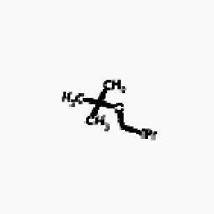 [CH2]C(C)COC(C)(C)C